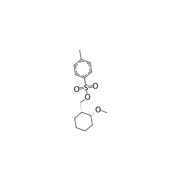 CO[C@@H]1CCCC[C@@H]1COS(=O)(=O)c1ccc(C)cc1